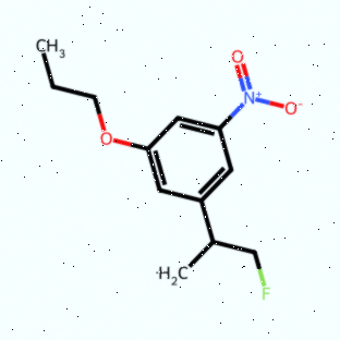 [CH2]C(CF)c1cc(OCCC)cc([N+](=O)[O-])c1